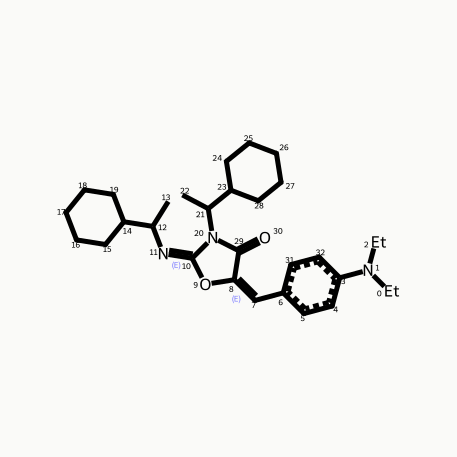 CCN(CC)c1ccc(/C=C2/O/C(=N/C(C)C3CCCCC3)N(C(C)C3CCCCC3)C2=O)cc1